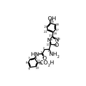 NC(CC(=O)Nc1ccccc1C(=O)O)c1nc(-c2ccc(O)cc2)no1